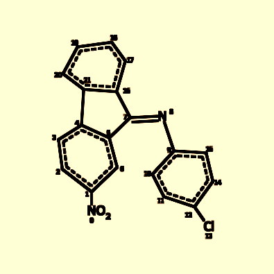 O=[N+]([O-])c1ccc2c(c1)C(=Nc1ccc(Cl)cc1)c1ccccc1-2